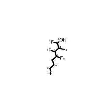 OC(F)C(F)C(F)C(F)CCCF